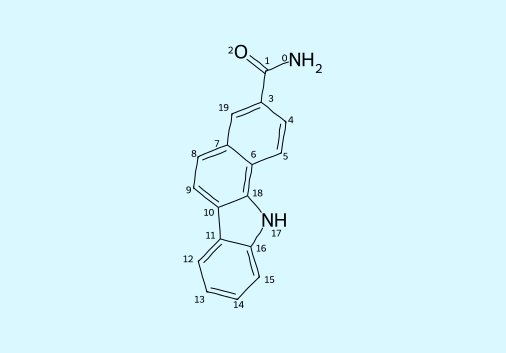 NC(=O)c1ccc2c(ccc3c4ccccc4[nH]c23)c1